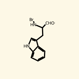 O=[C]C(Cc1c[nH]c2ccccc12)NBr